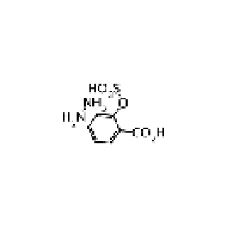 NN.O=C(O)c1ccccc1OS(=O)(=O)O